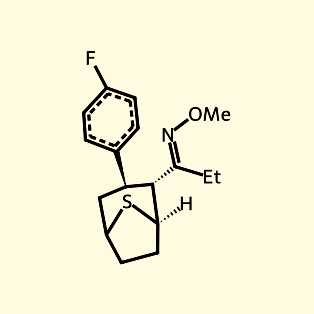 CCC(=NOC)[C@@H]1[C@H]2CCC(C[C@H]1c1ccc(F)cc1)S2